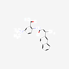 C/C(=C/C(=O)Nc1ccc(N(C)C)cc1C(=O)O)c1ccc2ccccc2c1